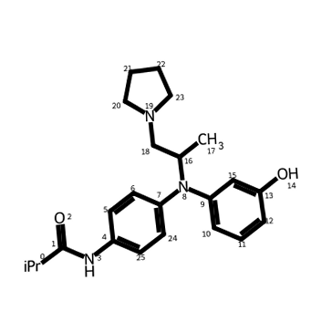 CC(C)C(=O)Nc1ccc(N(c2cccc(O)c2)C(C)CN2CCCC2)cc1